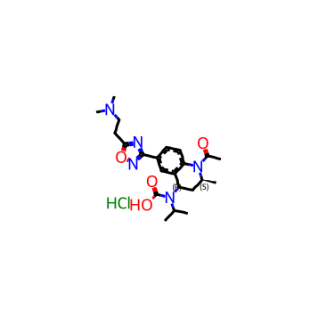 CC(=O)N1c2ccc(-c3noc(CCN(C)C)n3)cc2[C@H](N(C(=O)O)C(C)C)C[C@@H]1C.Cl